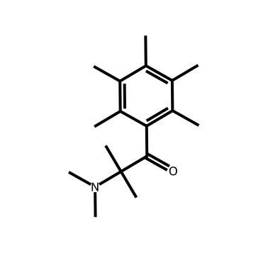 Cc1c(C)c(C)c(C(=O)C(C)(C)N(C)C)c(C)c1C